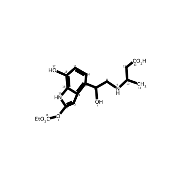 CCOC(=O)Oc1cc2c(C(O)CNC(C)CC(=O)O)ccc(O)c2[nH]1